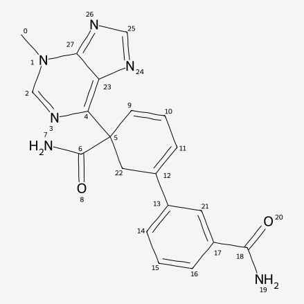 Cn1cnc(C2(C(N)=O)C=CC=C(c3cccc(C(N)=O)c3)C2)c2ncnc1-2